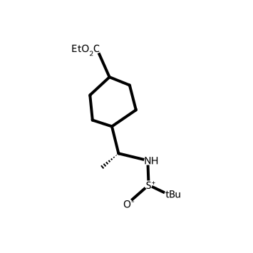 CCOC(=O)C1CCC([C@@H](C)N[S+]([O-])C(C)(C)C)CC1